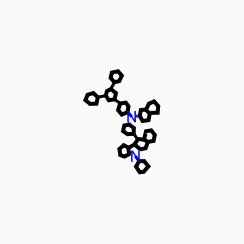 c1ccc(-c2cc(-c3ccccc3)cc(-c3ccc(N(c4cccc(-c5c6ccccc6cc6c5c5ccccc5n6-c5ccccc5)c4)c4ccc5ccccc5c4)cc3)c2)cc1